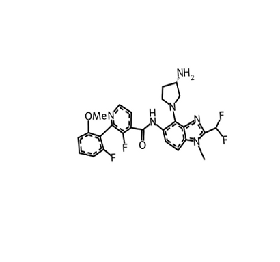 COc1cccc(F)c1-c1nccc(C(=O)Nc2ccc3c(nc(C(F)F)n3C)c2N2CC[C@H](N)C2)c1F